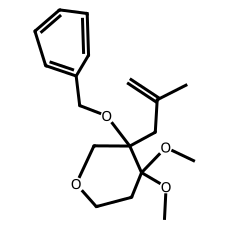 C=C(C)CC1(OCc2ccccc2)COCCC1(OC)OC